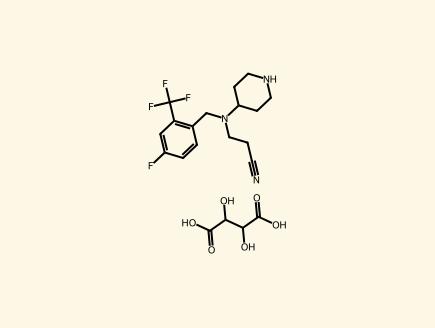 N#CCCN(Cc1ccc(F)cc1C(F)(F)F)C1CCNCC1.O=C(O)C(O)C(O)C(=O)O